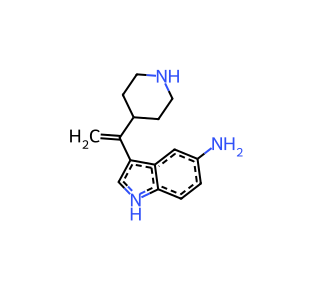 C=C(c1c[nH]c2ccc(N)cc12)C1CCNCC1